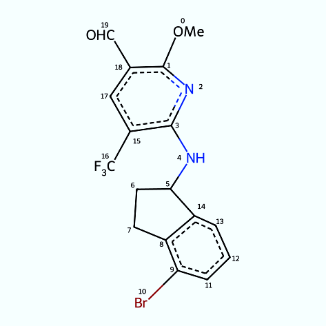 COc1nc(NC2CCc3c(Br)cccc32)c(C(F)(F)F)cc1C=O